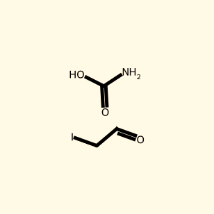 NC(=O)O.O=[C]CI